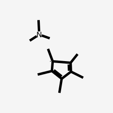 CN(C)C.C[C]1C(C)=C(C)C(C)=C1C